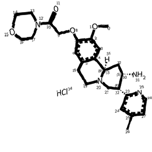 COc1cc2c(cc1OCC(=O)N1CCOCC1)CCN1C[C@@H](c3cc(C)ccn3)[C@@H](N)C[C@H]21.Cl